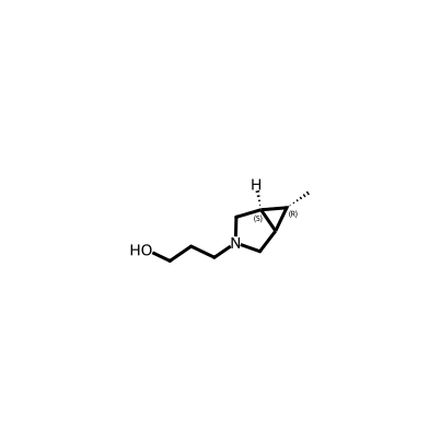 C[C@@H]1C2CN(CCCO)C[C@H]21